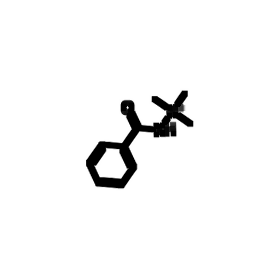 C[N+](C)(C)NC(=O)c1ccccc1